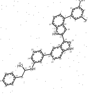 Oc1cc(F)cc(-c2cccc3[nH]c(-c4n[nH]c5cnc(-c6cncc(NC(O)Cc7ccccc7)c6)cc45)cc23)c1